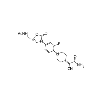 CC(=O)NC[C@H]1CN(c2ccc(N3CCC(=C(C#N)C(N)=O)CC3)c(F)c2)C(=O)O1